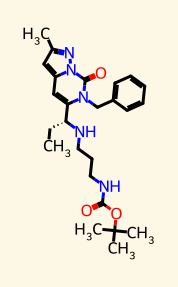 CC[C@@H](NCCCNC(=O)OC(C)(C)C)c1cc2cc(C)nn2c(=O)n1Cc1ccccc1